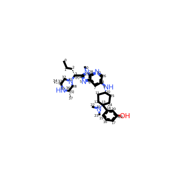 CCC[C@H](c1nc2cc(N[C@H]3CC[C@@](c4cccc(O)c4)(N(C)C)CC3)cnc2n1C)N1C[C@@H](C)N[C@@H](C)C1